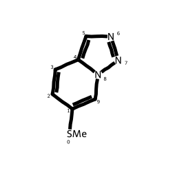 CSc1ccc2cnnn2c1